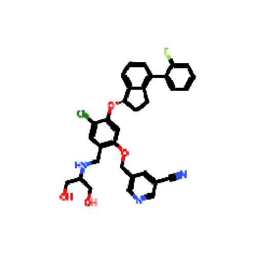 N#Cc1cncc(COc2cc(O[C@H]3CCc4c(-c5ccccc5F)cccc43)c(Cl)cc2CNC(CO)CO)c1